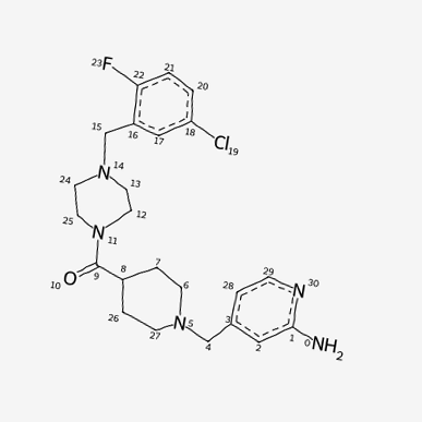 Nc1cc(CN2CCC(C(=O)N3CCN(Cc4cc(Cl)ccc4F)CC3)CC2)ccn1